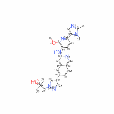 COc1nc(-c2cnc(C)n2C)ccc1Nc1cc2cc(-c3cnn(CC(C)(C)O)c3)ccc2cn1